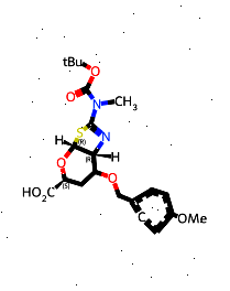 COc1ccc(COC2C[C@@H](C(=O)O)O[C@@H]3SC(N(C)C(=O)OC(C)(C)C)=N[C@H]23)cc1